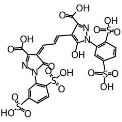 O=C(O)C1=NN(c2cc(S(=O)(=O)O)ccc2S(=O)(=O)O)C(=O)C1=CC=Cc1c(C(=O)O)nn(-c2cc(S(=O)(=O)O)ccc2S(=O)(=O)O)c1O